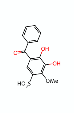 COc1c(S(=O)(=O)O)cc(C(=O)c2ccccc2)c(O)c1O